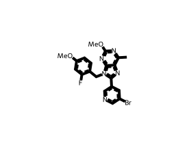 COc1ccc(Cn2c(-c3cncc(Br)c3)nc3c(C)nc(OC)nc32)c(F)c1